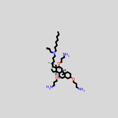 C=CCN(CCCCCCCC)CCC[C@@H](C)[C@H]1CC[C@H]2C3[C@H](OCCCN)CC4C[C@H](OCCCN)CCC4(C)[C@H]3C[C@H](OCCCN)C12C